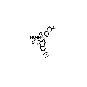 CN(C)C(C)(C)c1ccc(N2CCC(NS(=O)(=O)c3ccc4cc(Cl)ccc4c3)C2=O)c(F)c1.O=CO